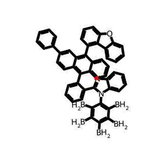 Bc1c(B)c(B)c(-n2c(-c3ccccc3-c3c4ccccc4c(-c4cccc5oc6ccccc6c45)c4cc(-c5ccccc5)ccc34)nc3ccccc32)c(B)c1B